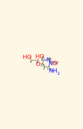 Nc1cc(OCCO)c(O)n[n+]1[O-]